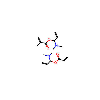 C=CC(=O)OC(C=C)N(C)C.C=CC(OC(=O)C(=C)C)N(C)C